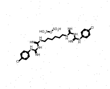 N=C(NCCCCCCNC(=N)NC(=N)Nc1ccc(Cl)cc1)NC(=N)Nc1ccc(Cl)cc1.O=S(=O)(O)OS(=O)(=O)O